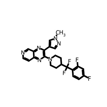 Cn1cc(-c2nc3cnccc3nc2N2CCC(C(F)(F)c3ccc(F)cc3F)CC2)cn1